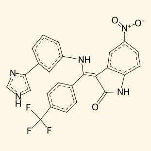 O=C1Nc2ccc([N+](=O)[O-])cc2C1=C(Nc1cccc(-c2c[nH]cn2)c1)c1ccc(C(F)(F)F)cc1